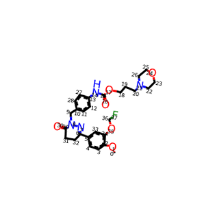 COc1ccc(C2=NN(Cc3ccc(NC(=O)OCCCN4CCOCC4)cc3)C(=O)CC2)cc1OCF